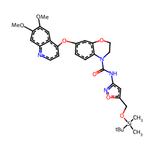 COc1cc2nccc(Oc3ccc4c(c3)OCCN4C(=O)Nc3cc(CO[Si](C)(C)C(C)(C)C)on3)c2cc1OC